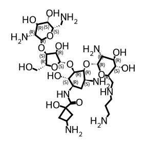 NCCCNC[C@H]1O[C@H](O[C@H]2[C@H](O[C@@H]3O[C@H](CO)[C@@H](O[C@H]4O[C@@H](CN)[C@@H](O)[C@H](O)[C@H]4N)[C@H]3O)[C@@H](O)[C@H](NC(=O)C3(O)CC(N)C3)C[C@@H]2N)[C@H](N)[C@@H](O)[C@@H]1O